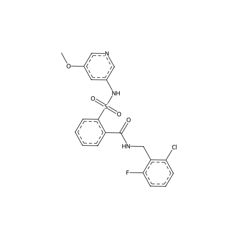 COc1cncc(NS(=O)(=O)c2ccccc2C(=O)NCc2c(F)cccc2Cl)c1